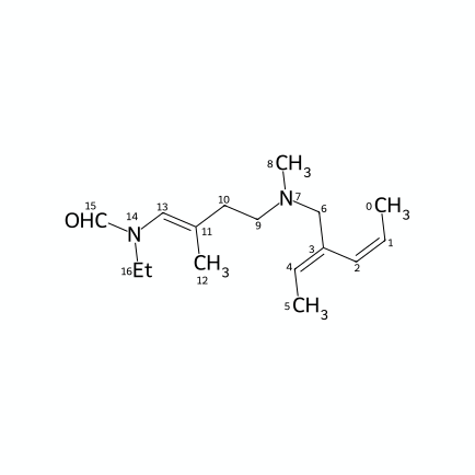 C/C=C\C(=C/C)CN(C)CC/C(C)=C/N(C=O)CC